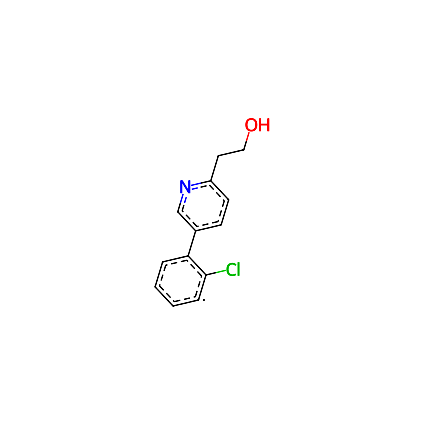 OCCc1ccc(-c2ccc[c]c2Cl)cn1